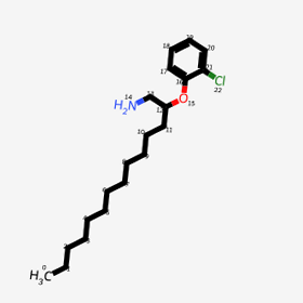 CCCCCCCCCCCCC(CN)Oc1ccccc1Cl